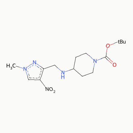 Cn1cc([N+](=O)[O-])c(CNC2CCN(C(=O)OC(C)(C)C)CC2)n1